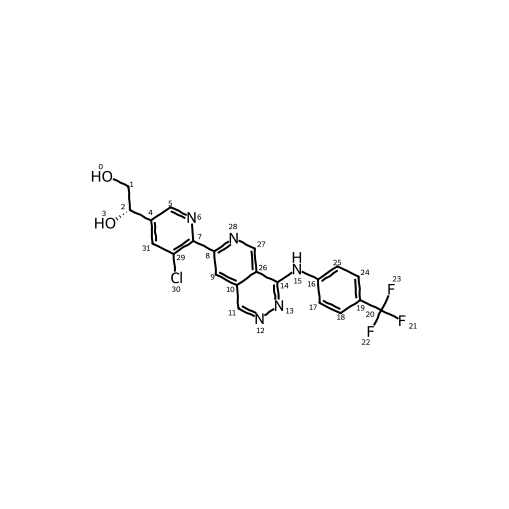 OC[C@@H](O)c1cnc(-c2cc3cnnc(Nc4ccc(C(F)(F)F)cc4)c3cn2)c(Cl)c1